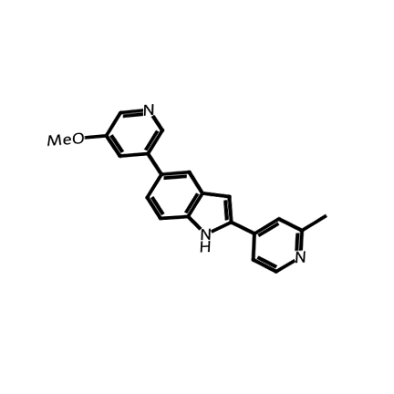 COc1cncc(-c2ccc3[nH]c(-c4ccnc(C)c4)cc3c2)c1